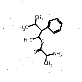 CC(C)[C@@H](c1ccccc1)[C@H](C)OC(=O)[C@H](C)N